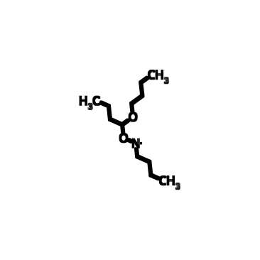 CCCC[N]OC(CCC)OCCCC